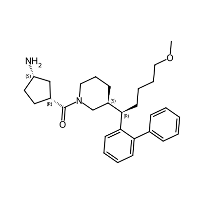 COCCCC[C@@H](c1ccccc1-c1ccccc1)[C@@H]1CCCN(C(=O)[C@@H]2CC[C@H](N)C2)C1